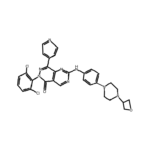 O=c1c2cnc(Nc3ccc(N4CCN(C5COC5)CC4)cc3)nc2c(-c2ccncc2)nn1-c1c(Cl)cccc1Cl